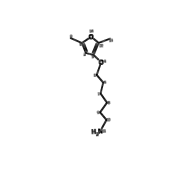 Cc1cc(OCCCCCCN)c(C)o1